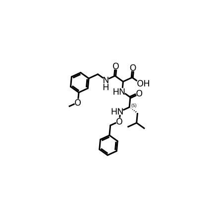 COc1cccc(CNC(=O)C(NC(=O)[C@H](CC(C)C)NOCc2ccccc2)C(=O)O)c1